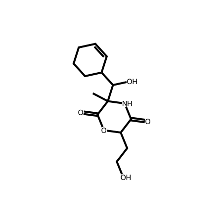 CC1(C(O)C2C=CCCC2)NC(=O)C(CCO)OC1=O